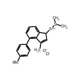 CC1=C[CH]([Zr+2][Si](C)C)c2cccc(-c3ccc(C(C)(C)C)cc3)c21.[Cl-].[Cl-]